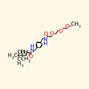 CCOCCOCCOCC(=O)NCc1ccc(CNC(=O)CCC(C)(C)C(C)(C)C)cc1